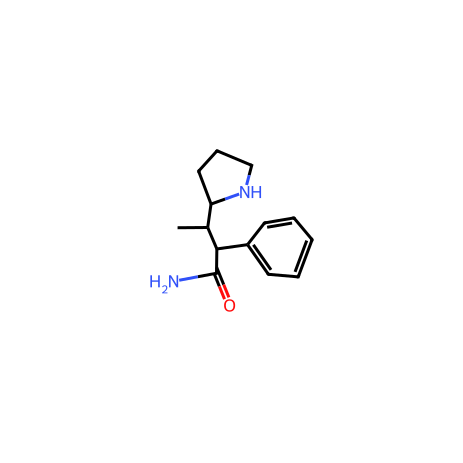 CC(C1CCCN1)C(C(N)=O)c1ccccc1